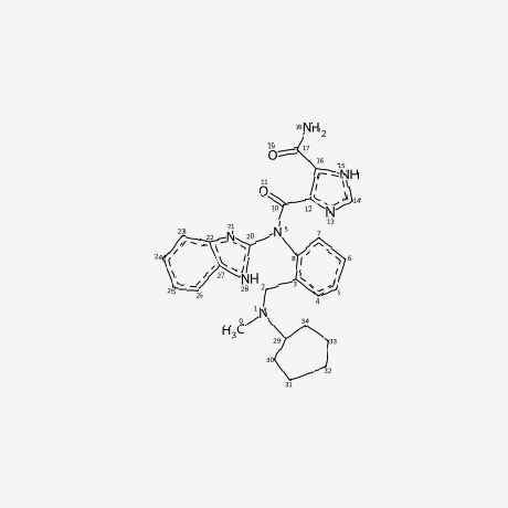 CN(Cc1ccccc1N(C(=O)c1nc[nH]c1C(N)=O)c1nc2ccccc2[nH]1)C1CCCCC1